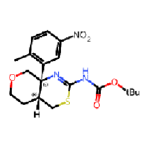 Cc1ccc([N+](=O)[O-])cc1[C@]12COCC[C@H]1CSC(NC(=O)OC(C)(C)C)=N2